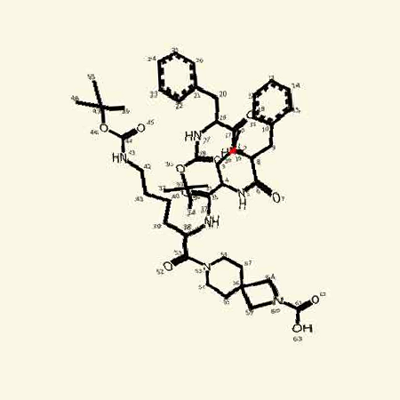 CC(C)CC(NC(=O)C(Cc1ccccc1)NC(=O)C(Cc1ccccc1)NC(=O)OC(C)(C)C)C(=O)NC(CCCCNC(=O)OC(C)(C)C)C(=O)N1CCC2(CC1)CN(C(=O)O)C2